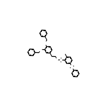 Cc1ccc(S(=O)(=O)c2ccccc2)cc1S(=O)(=O)NCCc1ccc(OCc2ccccc2)c(OCc2ccccc2)c1